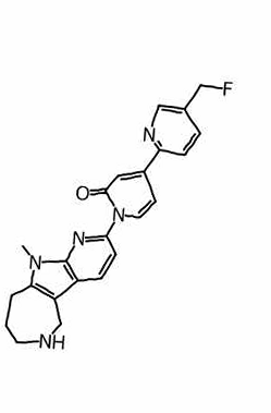 Cn1c2c(c3ccc(-n4ccc(-c5ccc(CF)cn5)cc4=O)nc31)CNCCC2